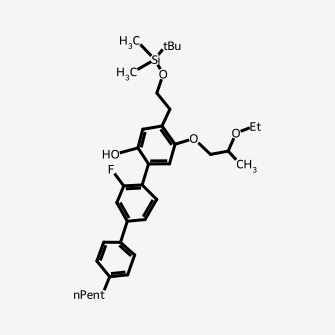 CCCCCc1ccc(-c2ccc(-c3cc(OCC(C)OCC)c(CCO[Si](C)(C)C(C)(C)C)cc3O)c(F)c2)cc1